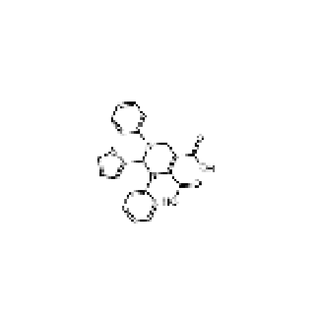 O=C(O)C1=C(C(=O)O)N(c2ccccc2)C(c2cccs2)N(c2ccccc2)C1